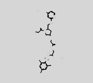 COc1ccnc(NCC2CC(OCC(=O)NCC(NS(=O)(=O)c3c(C)cc(C)cc3C)C(=O)O)CN2C(=O)CC(C)(C)C)c1